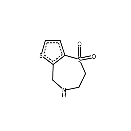 O=S1(=O)CCNCc2sccc21